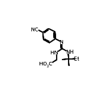 CCC(C)(C)NC(=Nc1ccc(C#N)cc1)NCC(=O)O